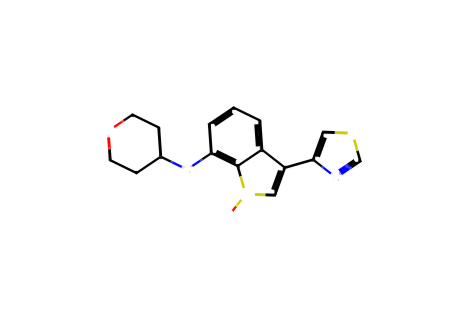 [O-][s+]1cc(-c2cscn2)c2cccc(NC3CCOCC3)c21